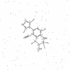 C#Cc1c(-c2c(C)noc2C)cc(C)c2c1C(C)C(O)C(C)(C)N2